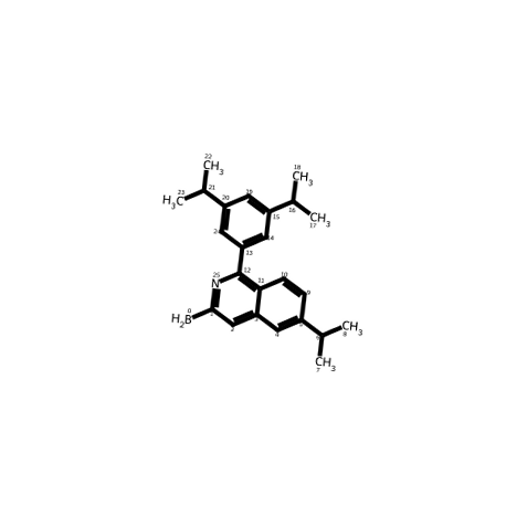 Bc1cc2cc(C(C)C)ccc2c(-c2cc(C(C)C)cc(C(C)C)c2)n1